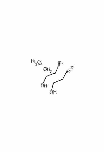 CC(C)CCO.CC(C)CCO.O.O.[Zr]